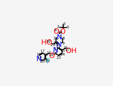 CC(C)(C)OC(=O)N1CCN(c2nc(OCc3ccncc3F)ccc2CO)[C@@H](CO)C1